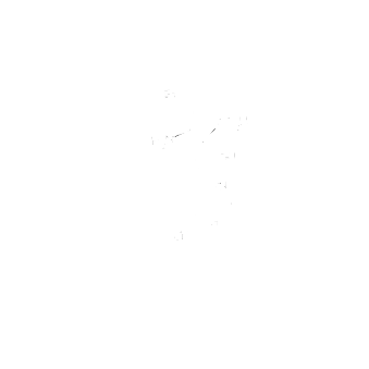 CC(C)C[C@H](N)[C@](O)(Cc1cc(Cl)ccn1)C(=O)O